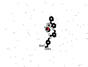 COC(Cc1ccc(COC(=O)c2cccc(COc3cccc(C(NC(=O)O[C@H]4CN5CCC4CC5)c4ccccc4)c3)c2)cc1)OC